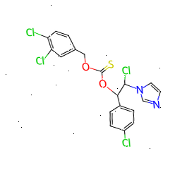 S=C(OCc1ccc(Cl)c(Cl)c1)OC(c1ccc(Cl)cc1)C(Cl)n1ccnc1